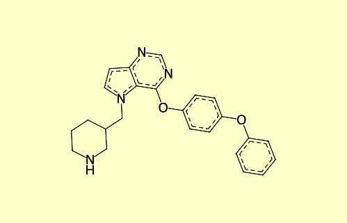 c1ccc(Oc2ccc(Oc3ncnc4ccn(CC5CCCNC5)c34)cc2)cc1